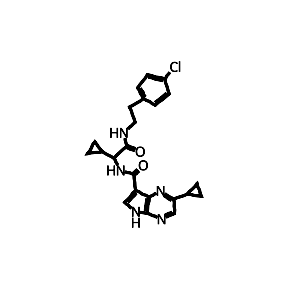 O=C(NC(C(=O)NCCc1ccc(Cl)cc1)C1CC1)c1c[nH]c2ncc(C3CC3)nc12